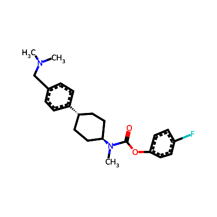 CN(C)Cc1ccc([C@H]2CC[C@H](N(C)C(=O)Oc3ccc(F)cc3)CC2)cc1